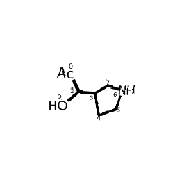 CC(=O)C(O)C1CCNC1